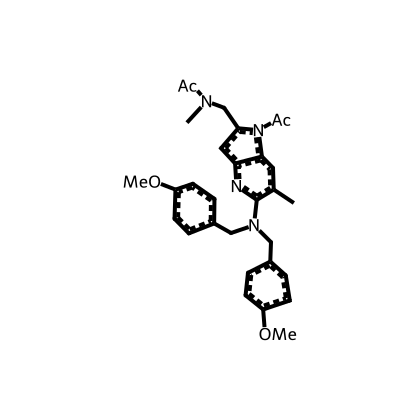 COc1ccc(CN(Cc2ccc(OC)cc2)c2nc3cc(CN(C)C(C)=O)n(C(C)=O)c3cc2C)cc1